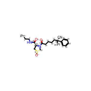 CC(C)CCNC(=O)[C@@H]1C[S+]([O-])CN1C(=O)CCCC[C@@](C#N)(c1ccccc1)C(C)C